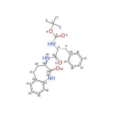 CC(C)(C)OC(=O)N[C@H](Cc1ccccc1)C(=O)N[C@@H]1CCc2ccccc2NC1=O